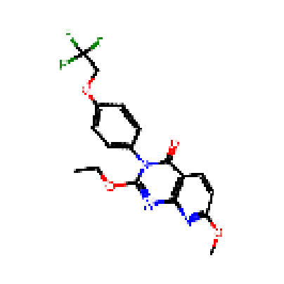 CCOc1nc2nc(OC)ccc2c(=O)n1-c1ccc(OCC(F)(F)F)cc1